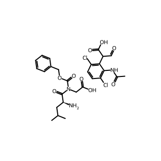 CC(=O)Nc1c(Cl)ccc(Cl)c1C(C=O)C(=O)O.CC(C)C[C@H](N)C(=O)N(CC(=O)O)C(=O)OCc1ccccc1